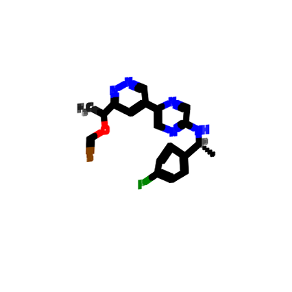 C[C@@H](Nc1cnc(-c2cnnc(C(OC=S)C(F)(F)F)c2)cn1)c1ccc(F)cc1